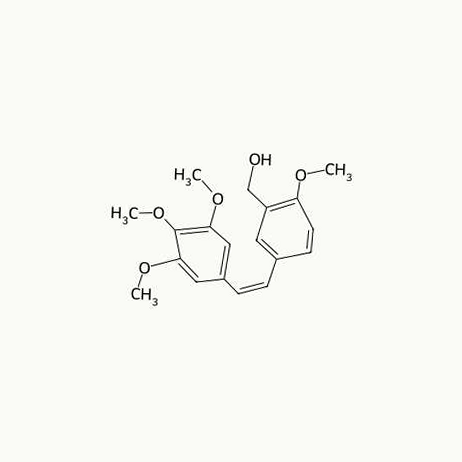 COc1ccc(/C=C\c2cc(OC)c(OC)c(OC)c2)cc1CO